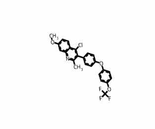 COc1ccc2c(Cl)c(-c3ccc(Oc4ccc(OC(F)(F)F)cc4)cc3)c(C)nc2c1